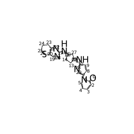 O=c1ccccn1-c1ccc(N[C@H]2CC[C@H](Nc3ncc4c(n3)CCCS4)C2)nc1